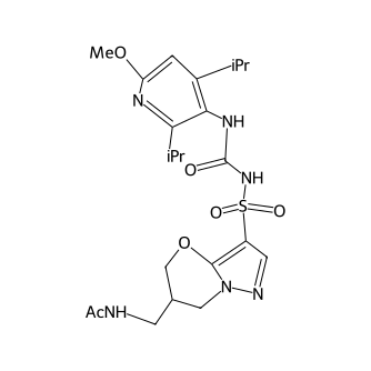 COc1cc(C(C)C)c(NC(=O)NS(=O)(=O)c2cnn3c2OCC(CNC(C)=O)C3)c(C(C)C)n1